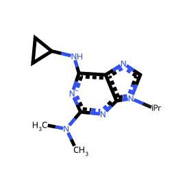 CC(C)n1cnc2c(NC3CC3)nc(N(C)C)nc21